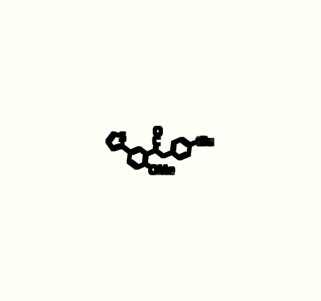 COc1ccc(-c2cccs2)cc1C(=C=O)Cc1ccc(C(C)(C)C)cc1